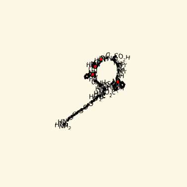 CC(C)C[C@@H]1NC(=O)[C@H](CCC(=O)O)NC(=O)CNC(O)[C@H](CC(C)C)NC(=O)[C@H](Cc2c[nH]cn2)NC(=O)[C@H](Cc2c[nH]c3ccccc23)NC(=O)[C@H](C)NC(=O)[C@@H](NC(=O)[C@H](CC(=O)O)NC(=O)CCOCCOCCOCCOCCOCCOCCNC(=O)NN)CSSC[C@@H](C(=O)N[C@H](C(=O)O)[C@@H](C)O)NC(=O)[C@H](Cc2c[nH]c3ccccc23)NC(=O)[C@H](C(C)C)NC1=O